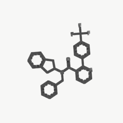 O=C(c1cccnc1-c1ccc(C(F)(F)F)cc1)N(Cc1ccccc1)C1Cc2ccccc2C1